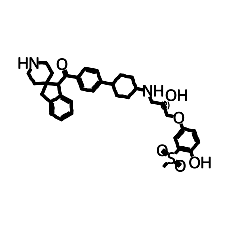 CS(=O)(=O)c1cc(OC[C@H](O)CNC2CCC(c3ccc(C(=O)C4c5ccccc5CC45CCNCC5)cc3)CC2)ccc1O